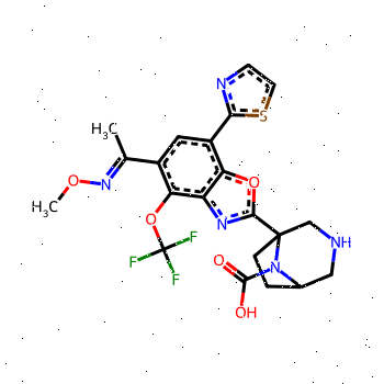 CON=C(C)c1cc(-c2nccs2)c2oc(C34CCC(CNC3)N4C(=O)O)nc2c1OC(F)(F)F